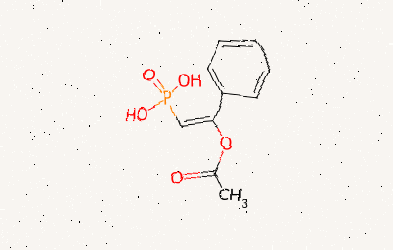 CC(=O)OC(=CP(=O)(O)O)c1ccccc1